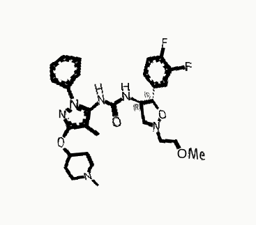 COCCN1C[C@@H](NC(=O)Nc2c(C)c(OC3CCN(C)CC3)nn2-c2ccccc2)[C@H](c2ccc(F)c(F)c2)O1